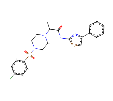 CC(C(=O)Nc1nc(-c2ccccc2)cs1)N1CCN(S(=O)(=O)c2ccc(Br)cc2)CC1